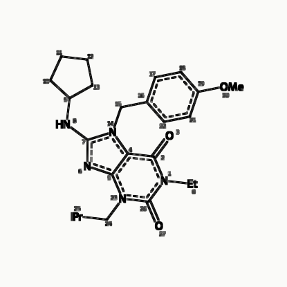 CCn1c(=O)c2c(nc(NC3CCCC3)n2Cc2ccc(OC)cc2)n(CC(C)C)c1=O